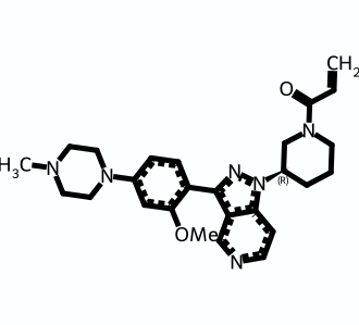 C=CC(=O)N1CCC[C@@H](n2nc(-c3ccc(N4CCN(C)CC4)cc3OC)c3cnccc32)C1